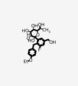 CCOc1ccc(Cc2c(F)cc(CO)cc2[C@@]2(O)O[C@H]([C@H](C)O)[C@@H](O)[C@H](O)[C@H]2O)cc1